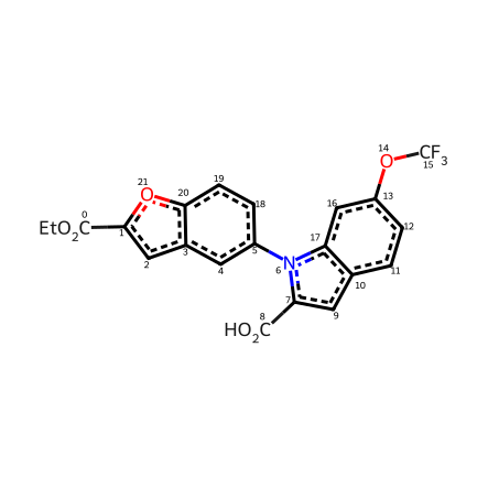 CCOC(=O)c1cc2cc(-n3c(C(=O)O)cc4ccc(OC(F)(F)F)cc43)ccc2o1